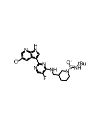 CC(C)(C)N[S+]([O-])N1CCCC(CNc2nc(-c3c[nH]c4ncc(Cl)cc34)ncc2F)C1